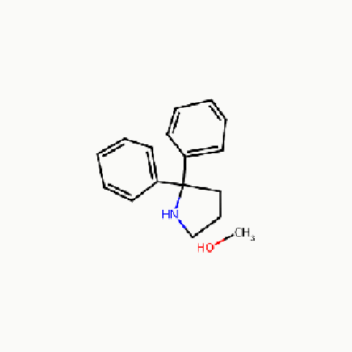 CO.c1ccc(C2(c3ccccc3)CCCN2)cc1